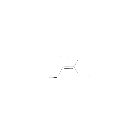 O=I/C=C(\C(=O)O)S(=O)(=O)O.[NaH]